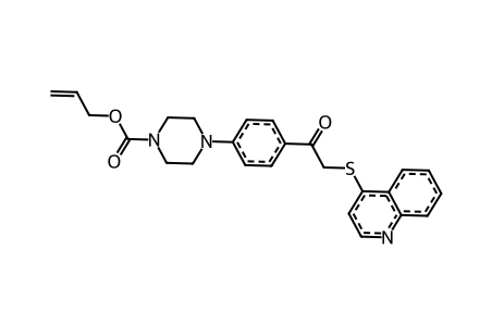 C=CCOC(=O)N1CCN(c2ccc(C(=O)CSc3ccnc4ccccc34)cc2)CC1